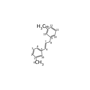 Cc1cccc(/C=C/Cc2cccc(C)c2)c1